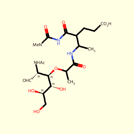 CNC(=O)NC(=O)C(CCC(=O)O)C(C)NC(=O)C(C)O[C@@H]([C@H](O)[C@H](O)CO)[C@H](C=O)NC(C)=O